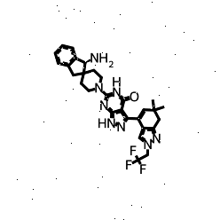 CC1(C)C=C(c2n[nH]c3nc(N4CCC5(CC4)Cc4ccccc4[C@H]5N)[nH]c(=O)c23)c2cn(CC(F)(F)F)nc2C1